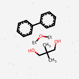 CC(C)(CO)CO.CCOCC.c1ccc(-c2ccccc2)cc1